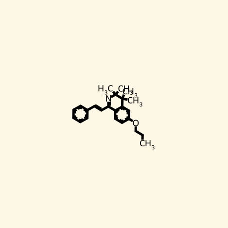 CCCOc1ccc2c(c1)C(C)(C)C(C)(C)N=C2C=Cc1ccccc1